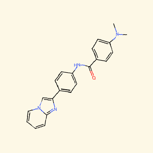 CN(C)c1ccc(C(=O)Nc2ccc(-c3cn4ccccc4n3)cc2)cc1